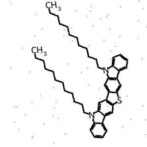 CCCCCCCCCCCCn1c2ccccc2c2cc3sc4cc5c6ccccc6n(CCCCCCCCCCCC)c5cc4c3cc21